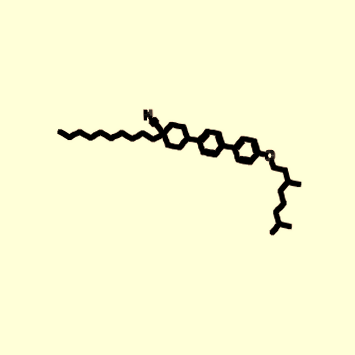 CCCCCCCCCCC1(C#N)CCC(c2ccc(-c3ccc(OCCC(C)CCCC(C)C)cc3)cc2)CC1